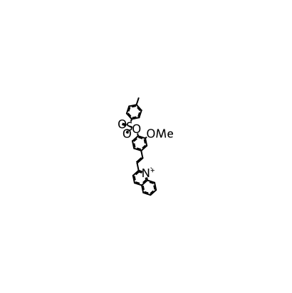 COc1cc(C=Cc2ccc3ccccc3[n+]2C)ccc1OS(=O)(=O)c1ccc(C)cc1